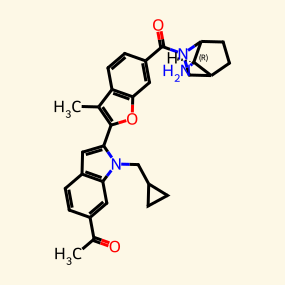 CC(=O)c1ccc2cc(-c3oc4cc(C(=O)N5CC6CCC5[C@@H]6N)ccc4c3C)n(CC3CC3)c2c1